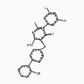 CCCCc1nc(C)n(-c2cc(Cl)cc(Cl)c2)c(=O)c1Cc1ccc(-c2ccccc2C#N)cc1